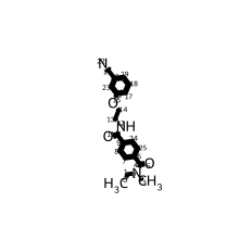 CCN(C)C(=O)c1ccc(C(=O)NCCOc2cccc(C#N)c2)cc1